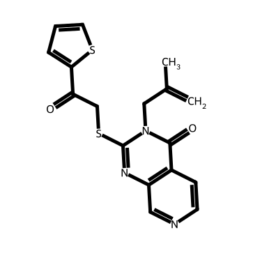 C=C(C)Cn1c(SCC(=O)c2cccs2)nc2cnccc2c1=O